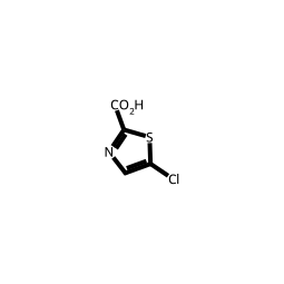 O=C(O)c1ncc(Cl)s1